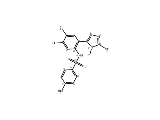 CC(=O)c1nnc(-c2cc(Cl)c(F)cc2NS(=O)(=O)c2ccc(C(C)(C)C)cc2)n1C